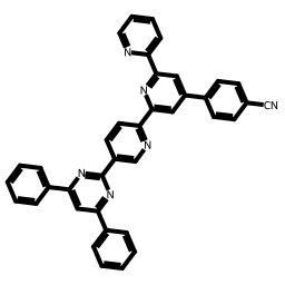 N#Cc1ccc(-c2cc(-c3ccccn3)nc(-c3ccc(-c4nc(-c5ccccc5)cc(-c5ccccc5)n4)cn3)c2)cc1